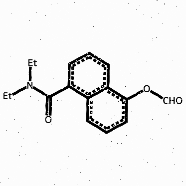 CCN(CC)C(=O)c1cccc2c(OC=O)cccc12